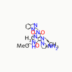 CC#CCn1c(N2CCC[C@@H](N)C2)c(C(=O)NCCOC)c2c1c(=O)n(Cc1ncc3ccccc3n1)c(=O)n2C